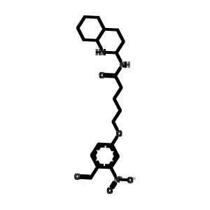 O=Cc1ccc(OCCCCC(=O)NC2CCC3CCCCC3N2)cc1[N+](=O)[O-]